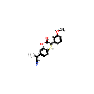 COc1cccc(C(Sc2ccc(C(C)C#N)cc2)C(=O)O)c1